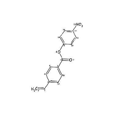 C=Cc1ccc(C(=O)Oc2ccc([N+](=O)[O-])cc2)cc1